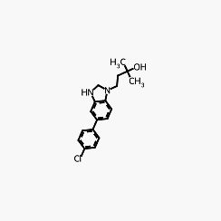 CC(C)(O)CCN1CNc2cc(-c3ccc(Cl)cc3)ccc21